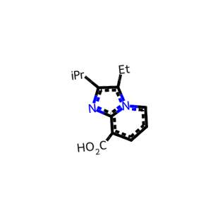 CCc1c(C(C)C)nc2c(C(=O)O)cccn12